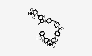 Cc1cn(C2CCC(CN3CCN(C(=O)c4ccc([C@@H]5CN(c6cc(-c7ccccc7O)nnc6N)[C@H](C)[C@H](C)O5)cc4)CC3)CC2)c2ncc(N3CCC(=O)NC3=O)cc12